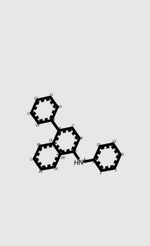 c1ccc(Nc2ccc(-c3ccccc3)c3ccccc23)cc1